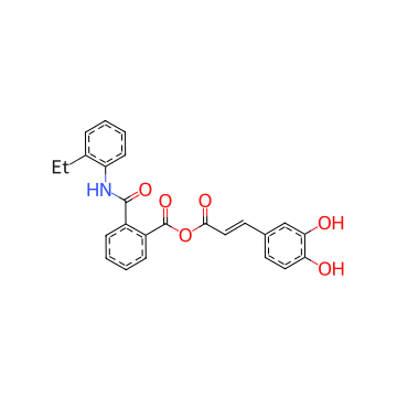 CCc1ccccc1NC(=O)c1ccccc1C(=O)OC(=O)/C=C/c1ccc(O)c(O)c1